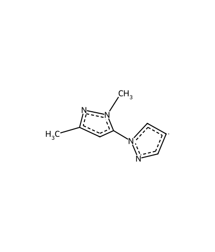 Cc1cc(-n2c[c]cn2)n(C)n1